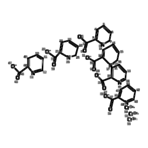 O=C([O-])C1=CC=CC[N-]1.O=C([O-])C1=CC=CC[N-]1.O=C([O-])C1=CC=CC[N-]1.O=C([O-])c1ccccn1.O=C([O-])c1ccccn1.O=C([O-])c1ccccn1.[Cr+3].[Cr+3].[Cr+3]